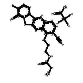 Cc1ccc2n(c1=O)Cc1cc3c(CCCOC(=O)CN)c(C#N)ccc3nc1-2.O=C(O)C(F)(F)F